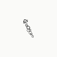 c1cnc(COc2ccc3c(c2)CCC2(CCN(C4CCC4)CC2)O3)nc1